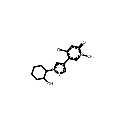 Cn1cc(-c2cnn(C3CCCCC3O)c2)c(Cl)cc1=O